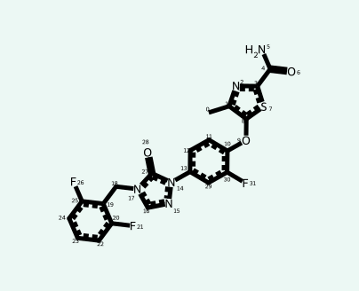 Cc1nc(C(N)=O)sc1Oc1ccc(-n2ncn(Cc3c(F)cccc3F)c2=O)cc1F